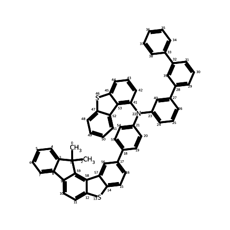 CC1(C)c2ccccc2-c2ccc3sc4ccc(-c5ccc(N(c6cccc(-c7cccc(-c8ccccc8)c7)c6)c6cccc7sc8ccccc8c67)cc5)cc4c3c21